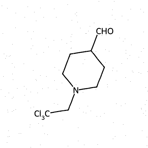 O=CC1CCN(CC(Cl)(Cl)Cl)CC1